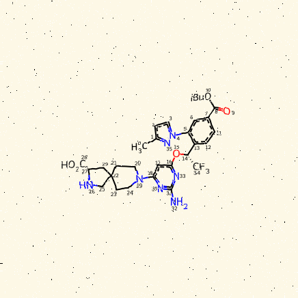 Cc1ccn(-c2cc(C(=O)OCC(C)C)ccc2[C@@H](Oc2cc(N3CCC4(CC3)CN[C@H](C(=O)O)C4)nc(N)n2)C(F)(F)F)n1